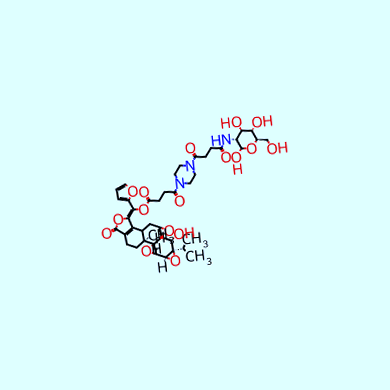 CC(C)[C@]12O[C@H]1[C@@H]1O[C@]13[C@]1(O[C@H]1CC1C4=C(CC[C@@]13C)C(=O)O/C4=C(/OC(=O)CCC(=O)N1CCN(C(=O)CCC(=O)N[C@H]3C(O)O[C@H](CO)[C@@H](O)[C@@H]3O)CC1)c1ccco1)[C@@H]2O